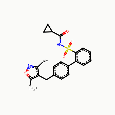 CCCc1noc(C(=O)O)c1Cc1ccc(-c2ccccc2S(=O)(=O)NC(=O)C2CC2)cc1